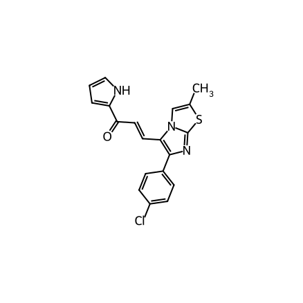 Cc1cn2c(C=CC(=O)c3ccc[nH]3)c(-c3ccc(Cl)cc3)nc2s1